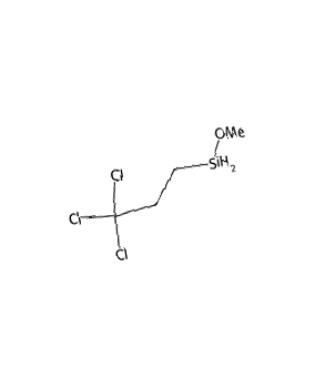 CO[SiH2]CCC(Cl)(Cl)Cl